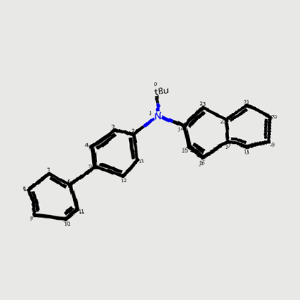 CC(C)(C)N(c1ccc(-c2ccccc2)cc1)c1ccc2ccccc2c1